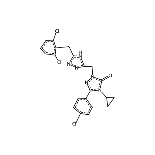 O=c1n(Cc2nnc(Cc3c(Cl)cccc3Cl)[nH]2)nc(-c2ccc(Cl)cc2)n1C1CC1